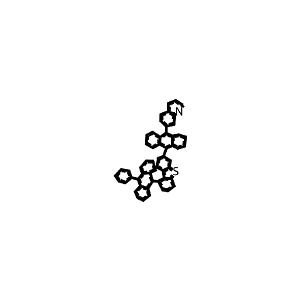 c1ccc(-c2c3ccccc3c(-c3cccc4sc5cc(-c6c7ccccc7c(-c7ccc8cccnc8c7)c7ccccc67)ccc5c34)c3ccccc23)cc1